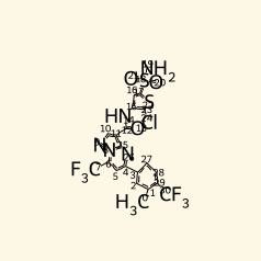 Cc1cc(-c2cc(C(F)(F)F)n3ncc(C(=O)Nc4cc(S(N)(=O)=O)sc4Cl)c3n2)ccc1C(F)(F)F